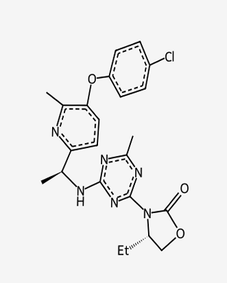 CC[C@H]1COC(=O)N1c1nc(C)nc(N[C@@H](C)c2ccc(Oc3ccc(Cl)cc3)c(C)n2)n1